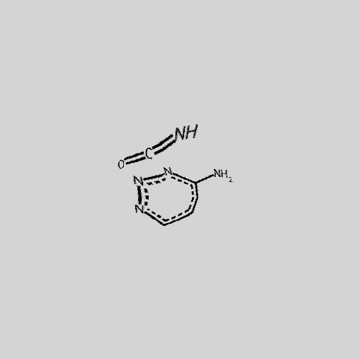 N=C=O.Nc1ccnnn1